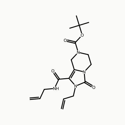 C=CCNC(=O)c1c2n(c(=O)n1CC=C)CCN(C(=O)OC(C)(C)C)C2